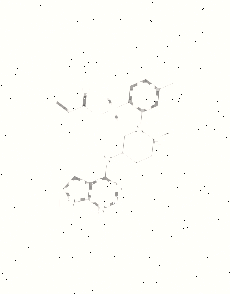 C=CC(=O)OS(=O)(=O)c1ccc(C)cc1N1CC(Nc2ncnc3[nH]ccc23)CC[C@@H]1C